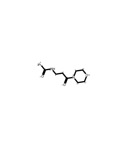 CC(C)C(=O)NCCC(=O)N1CCOCC1